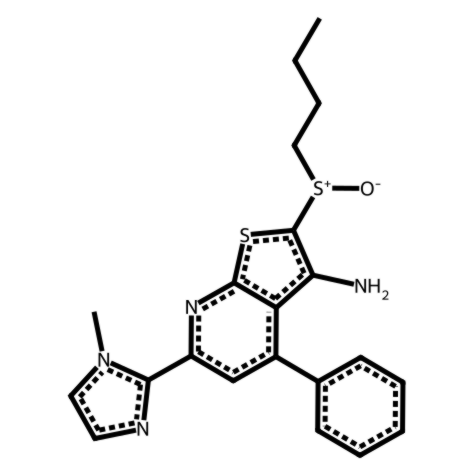 CCCC[S+]([O-])c1sc2nc(-c3nccn3C)cc(-c3ccccc3)c2c1N